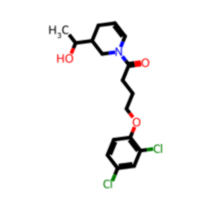 CC(O)C1CC=CN(C(=O)CCCOc2ccc(Cl)cc2Cl)C1